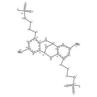 CC(C)(C)c1cc(CCCOS(C)(=O)=O)c2c(c1)C1Oc3c(CCCOS(C)(=O)=O)cc(C(C)(C)C)cc3C(O2)O1